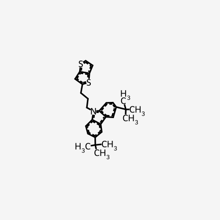 CC(C)(C)c1ccc2c(c1)c1cc(C(C)(C)C)ccc1n2CCCc1cc2sccc2s1